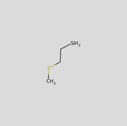 CSCC[SiH3]